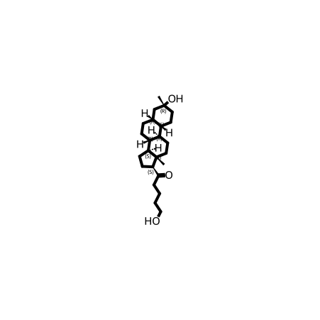 C[C@@]1(O)CC[C@H]2[C@H](CC[C@@H]3[C@@H]2CC[C@]2(C)[C@@H](C(=O)CCCCO)CC[C@@H]32)C1